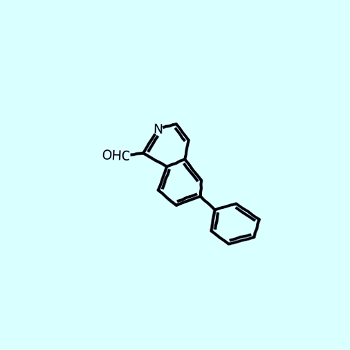 O=Cc1nccc2cc(-c3ccccc3)ccc12